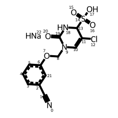 N#Cc1cccc(OCN2C=C(Cl)C(S(=O)(=O)O)NC2=O)c1.[NaH]